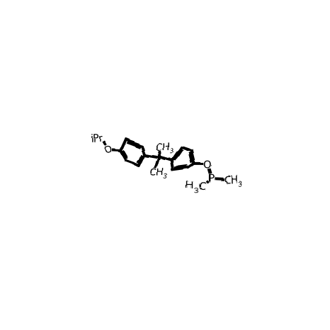 CC(C)Oc1ccc(C(C)(C)c2ccc(OP(C)C)cc2)cc1